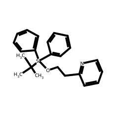 CC(C)(C)[Si](OCCc1[c]cccn1)(c1ccccc1)c1ccccc1